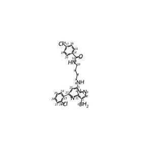 Bc1cnn2c(NCCCCNC(=O)c3ccc(Cl)cc3)cc(-c3ccccc3Cl)nc12